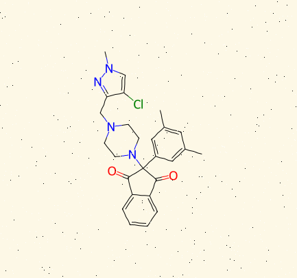 Cc1cc(C)cc(C2(N3CCN(Cc4nn(C)cc4Cl)CC3)C(=O)c3ccccc3C2=O)c1